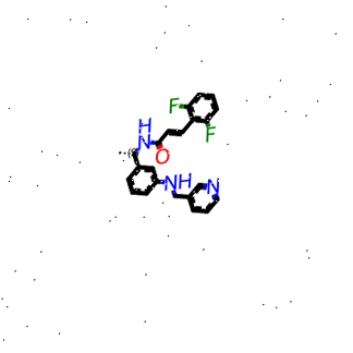 C[C@H](NC(=O)C=Cc1c(F)cccc1F)c1cccc(NCc2cccnc2)c1